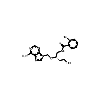 Nc1ncnc2c1ncn2CO[C@@H](CCO)CNC(=O)c1ccccc1O